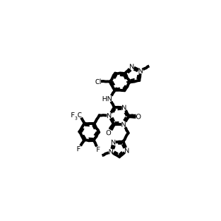 Cn1cnc(Cn2c(=O)nc(Nc3cc4cn(C)nc4cc3Cl)n(Cc3cc(F)c(F)cc3C(F)(F)F)c2=O)n1